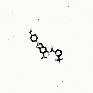 CN(C)c1cc2nn([C@H]3CC[C@H](C=O)CC3)cc2cc1NC(=O)c1cccc(C(F)(F)F)n1